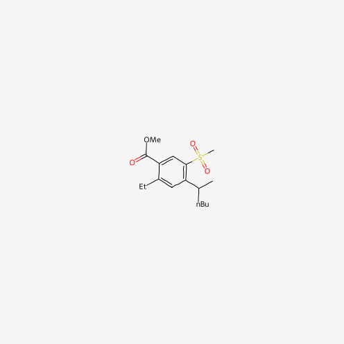 CCCCC(C)c1cc(CC)c(C(=O)OC)cc1S(C)(=O)=O